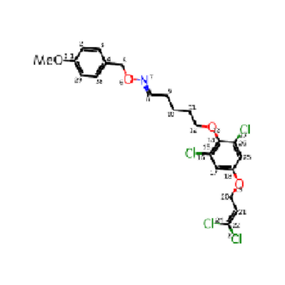 COc1ccc(CO/N=C/CCCCOc2c(Cl)cc(OCC=C(Cl)Cl)cc2Cl)cc1